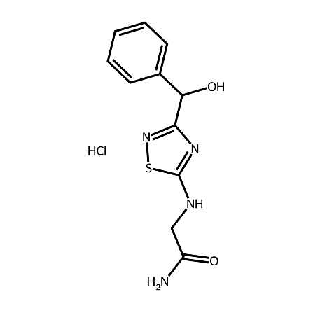 Cl.NC(=O)CNc1nc(C(O)c2ccccc2)ns1